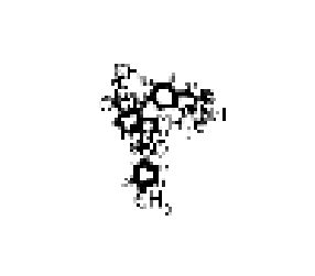 CCOC(=O)c1cnc2c(ccn2S(=O)(=O)c2ccc(C)cc2)c1NC1CCC(CS(=O)(=O)NC)CC1